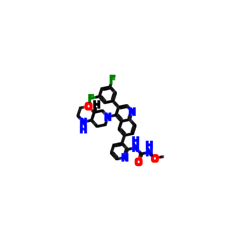 CONC(=O)Nc1ncccc1-c1ccc2ncc(-c3cc(F)cc(F)c3)c(N3CCC4NCCO[C@@H]4C3)c2c1